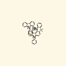 CC1(C)c2ccccc2N(B2c3ccccc3-n3c4ccccc4c4cccc2c43)c2c1ccc1c2c2ccccc2n1-c1ccccc1